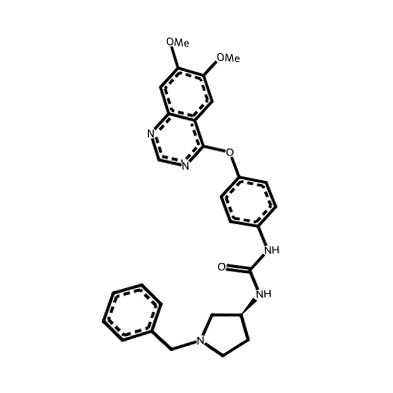 COc1cc2ncnc(Oc3ccc(NC(=O)N[C@H]4CCN(Cc5ccccc5)C4)cc3)c2cc1OC